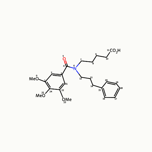 COc1cc(C(=O)N(CCCCC(=O)O)CCCc2ccccc2)cc(OC)c1OC